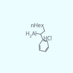 CCCCCCC[CH]([AlH2])c1ccccc1.Cl